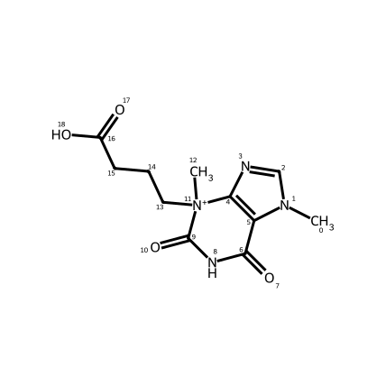 Cn1cnc2c1C(=O)NC(=O)[N+]2(C)CCCC(=O)O